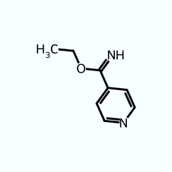 CCOC(=N)c1ccncc1